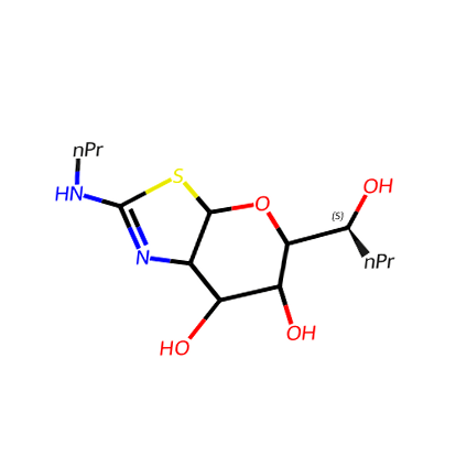 CCCNC1=NC2C(OC([C@@H](O)CCC)C(O)C2O)S1